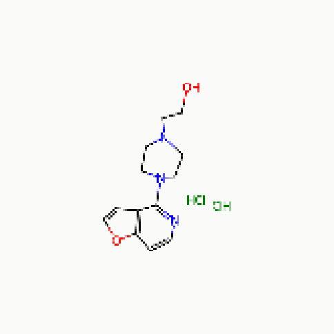 Cl.Cl.OCCN1CCN(c2nccc3occc23)CC1